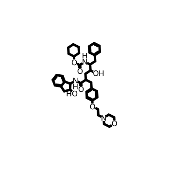 O=C(NC(Cc1ccccc1)C(O)CC(Cc1ccc(OCCN2CCOCC2)cc1)C(=O)NC1c2ccccc2CC1O)OC1CCCCC1